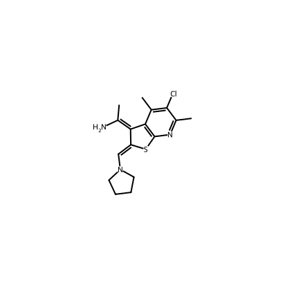 C/C(N)=c1/c(=C/N2CCCC2)sc2nc(C)c(Cl)c(C)c12